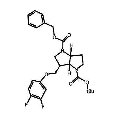 CC(C)(C)OC(=O)N1CC[C@@H]2[C@H]1[C@@H](COc1ccc(F)c(F)c1)CN2C(=O)OCc1ccccc1